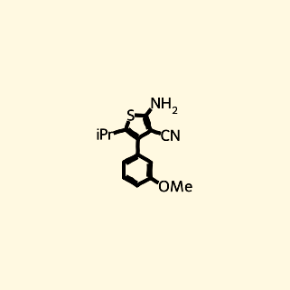 COc1cccc(-c2c(C(C)C)sc(N)c2C#N)c1